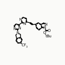 CC(C)(C)OC(=O)n1ncc2cc(C#Cc3ccnc(-c4ccnc(N5Cc6ccc(C(F)(F)F)cc6C5)n4)n3)ccc21